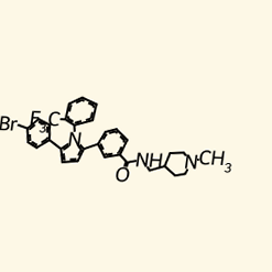 CN1CCC(CNC(=O)c2cccc(-c3ccc(-c4ccc(Br)cc4)n3-c3ccccc3C(F)(F)F)c2)CC1